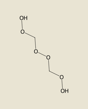 OOCOOCOO